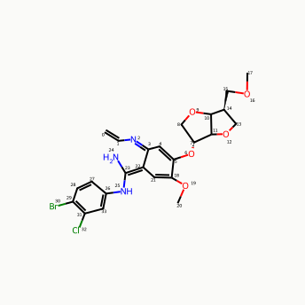 C=C/N=C1/C=C(O[C@@H]2COC3C2OC[C@@H]3COC)C(OC)=C/C1=C(/N)Nc1ccc(Br)c(Cl)c1